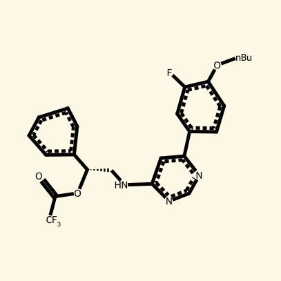 CCCCOc1ccc(-c2cc(NC[C@H](OC(=O)C(F)(F)F)c3ccccc3)ncn2)cc1F